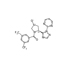 O=C(c1cc(C(F)(F)F)cc(C(F)(F)F)c1)N1C[S+]([O-])C[C@H]1c1ncnn1-c1ncccn1